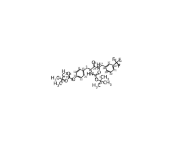 CC(C)(C)OC(=O)NC(Cc1ccc(OC(=O)OC(C)(C)C)cc1)C(=O)NCc1cccc(C(F)(F)F)c1